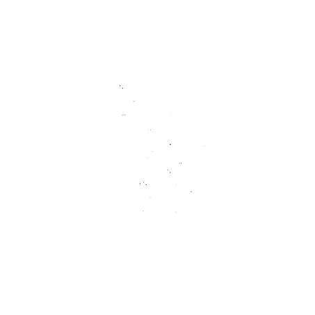 N#Cc1ccc(/C=C/c2nc3ccccc3c(=O)n2-c2cccc(O)c2)cc1